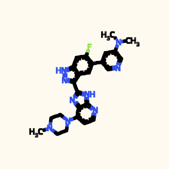 CN1CCN(c2ccnc3[nH]c(-c4n[nH]c5cc(F)c(-c6cncc(N(C)C)c6)cc45)nc23)CC1